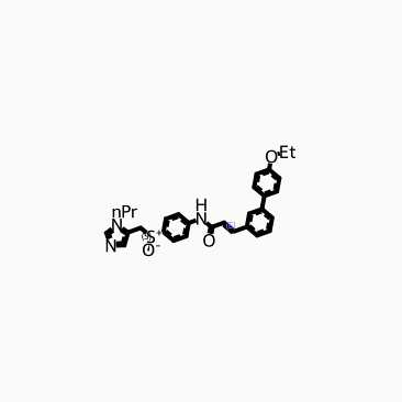 CCCn1cncc1C[S@@+]([O-])c1ccc(NC(=O)/C=C/c2cccc(-c3ccc(OCC)cc3)c2)cc1